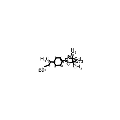 CC[C@@H](C)CC[C@H](C)C1CC=C(B2OC(C)(C)C(C)(CC)O2)CC1